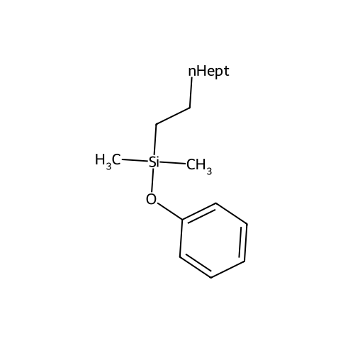 CCCCCCCCC[Si](C)(C)Oc1ccccc1